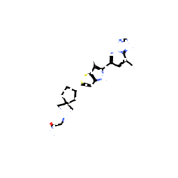 Cc1cc(-c2[nH]c3cc([C@H]4CCC5(C4)CN(CC(N)=O)C5)sc3c2C(C)C)cn2ncnc12